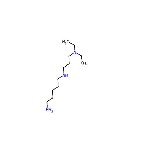 CCN(CC)CCCNCCCCCN